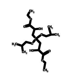 CCOC(=O)C(O)[CH2][Ti]([CH2]C(O)C(=O)OCC)([O]CC(C)C)[O]CC(C)C